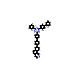 c1ccc(-c2ccc(-c3nc(-c4ccccc4)nc(-c4ccc(-c5ccc(-c6ccc7c(ccc8ccncc87)c6)cc5)cc4)n3)cc2)cc1